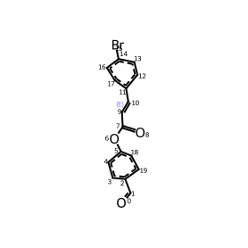 O=Cc1ccc(OC(=O)/C=C/c2ccc(Br)cc2)cc1